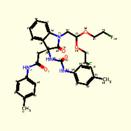 Cc1ccc(NC(=O)C[C@]2(NC(=O)Nc3ccc(C)cc3)C(=O)N(CC(OCCF)OCCF)c3ccccc32)cc1